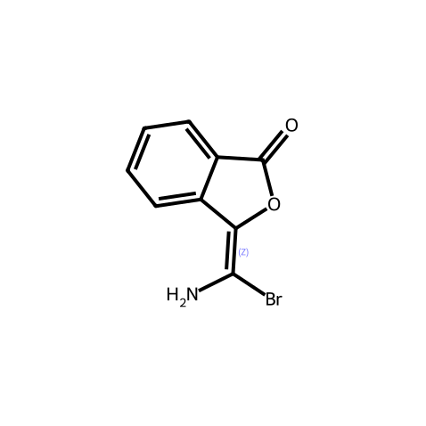 N/C(Br)=C1/OC(=O)c2ccccc21